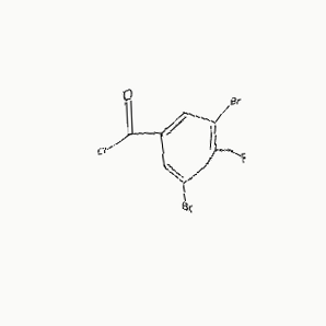 O=C(Cl)c1cc(Br)c(F)c(Br)c1